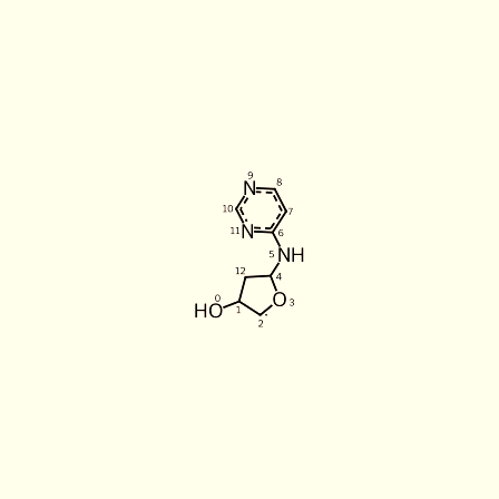 OC1[CH]OC(Nc2ccncn2)C1